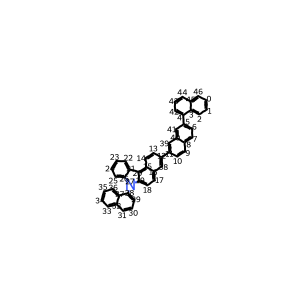 c1ccc2c(-c3ccc4ccc(-c5ccc6c(ccc7c6c6ccccc6n7-c6cccc7ccccc67)c5)cc4c3)cccc2c1